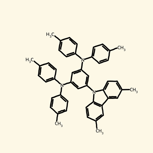 Cc1ccc(N(c2ccc(C)cc2)c2cc(N(c3ccc(C)cc3)c3ccc(C)cc3)cc(-n3c4ccc(C)cc4c4cc(C)ccc43)c2)cc1